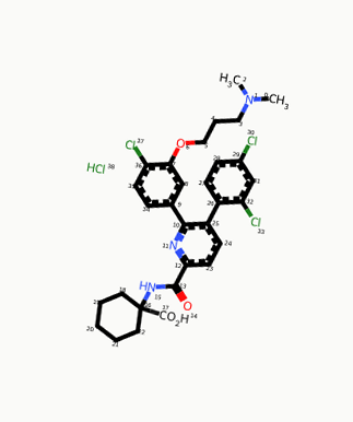 CN(C)CCCOc1cc(-c2nc(C(=O)NC3(C(=O)O)CCCCC3)ccc2-c2ccc(Cl)cc2Cl)ccc1Cl.Cl